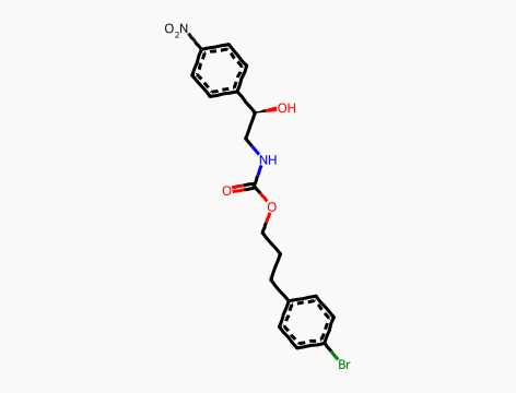 O=C(NC[C@H](O)c1ccc([N+](=O)[O-])cc1)OCCCc1ccc(Br)cc1